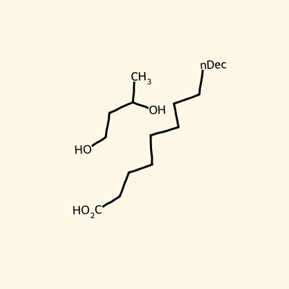 CC(O)CCO.CCCCCCCCCCCCCCCCCC(=O)O